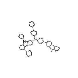 c1ccc(-c2ccc(N(c3ccc(-c4ccc5c(c4)sc4ccccc45)cc3)c3ccc4c5c(-c6ccccc6)cccc5n(-c5ccccc5)c4c3)cc2)cc1